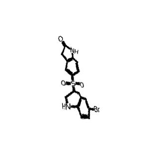 O=C1Cc2cc(S(=O)(=O)C3CNc4ccc(Br)cc43)ccc2N1